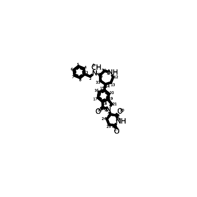 CN(Cc1ccccc1)[C@@H]1CNCCC(c2ccc3c(c2)CN(C2CCC(=O)NC2=O)C3=O)C1